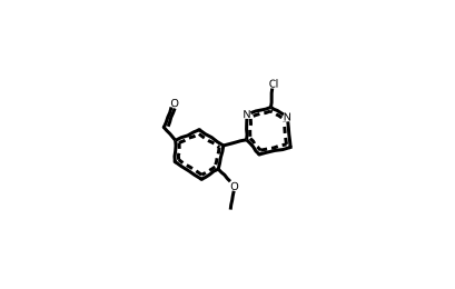 COc1ccc(C=O)cc1-c1ccnc(Cl)n1